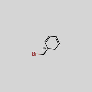 BrC[C@H]1C=CC=CC1